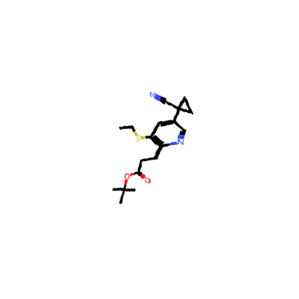 CCSc1cc(C2(C#N)CC2)cnc1CCC(=O)OC(C)(C)C